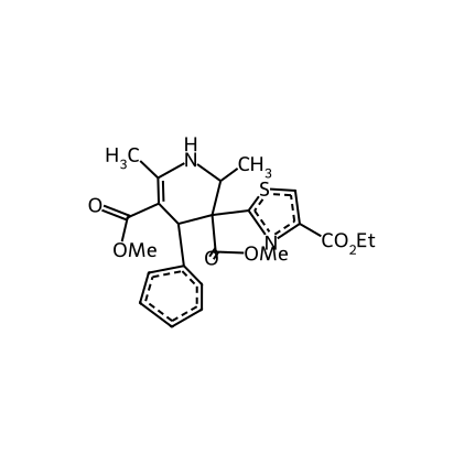 CCOC(=O)c1csc(C2(C(=O)OC)C(C)NC(C)=C(C(=O)OC)C2c2ccccc2)n1